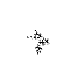 COc1nc(CO)nc2c1ncn2[C@@H]1O[C@H](COC(C)P(=O)(OC)OC)[C@H]2OC(C)(C)O[C@H]21